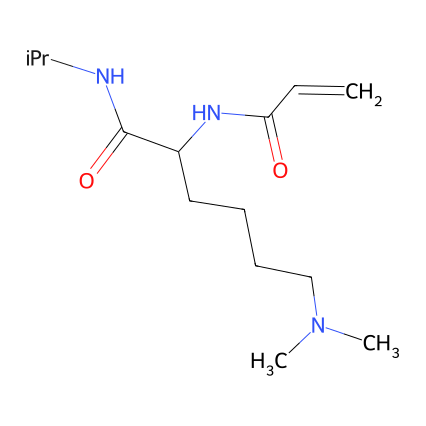 C=CC(=O)NC(CCCCN(C)C)C(=O)NC(C)C